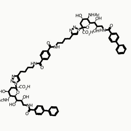 CC(=O)N[C@H]1[C@H]([C@H](O)[C@H](O)CNC(=O)c2ccc(-c3ccccc3)cc2)O[C@](C(=O)O)(n2cc(CCCCNC(=O)c3ccc(C(=O)NCCCCc4cn([C@]5(C(=O)O)C[C@H](O)[C@@H](NC(C)=O)[C@H]([C@H](O)[C@H](O)CNC(=O)c6ccc(-c7ccccc7)cc6)O5)nn4)cc3)nn2)C[C@@H]1O